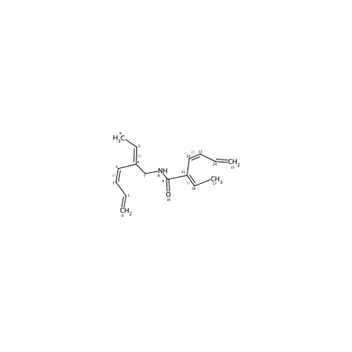 C=C/C=C\C(=C/C)CNC(=O)C(/C=C\C=C)=C/C